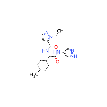 CCn1nccc1C(=O)N[C@H](C(=O)Nc1cn[nH]c1)C1CCC(C)CC1